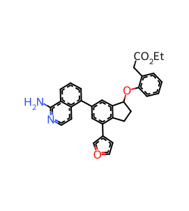 CCOC(=O)Cc1ccccc1OC1CCc2c(-c3ccoc3)cc(-c3cccc4c(N)nccc34)cc21